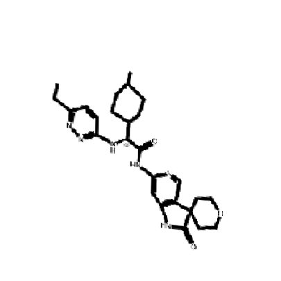 CCc1ccc(N[C@H](C(=O)Nc2cc3c(cn2)C2(CCOCC2)C(=O)N3)C2CCC(C)CC2)nn1